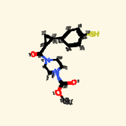 CC(C)(C)OC(=O)N1CCN(C(=O)C2C[C@H]2c2ccc(S)cc2)CC1